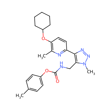 Cc1ccc(OC(=O)NCc2c(-c3ccc(OC4CCCCC4)c(C)n3)nnn2C)cc1